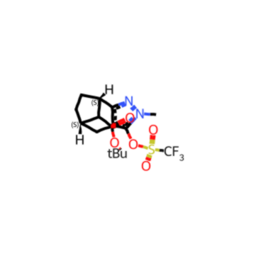 Cn1nc2c(c1OS(=O)(=O)C(F)(F)F)C[C@@H]1CC[C@H]2C1C(=O)OC(C)(C)C